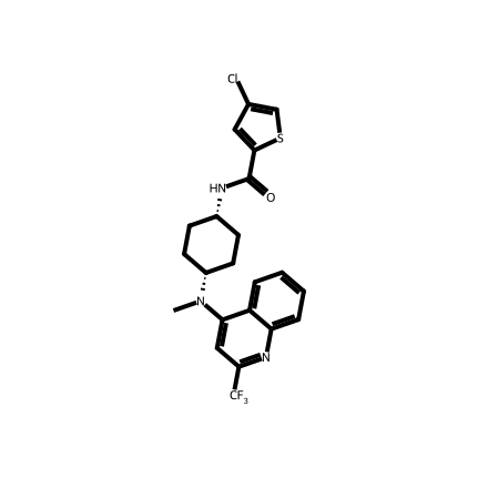 CN(c1cc(C(F)(F)F)nc2ccccc12)[C@H]1CC[C@@H](NC(=O)c2cc(Cl)cs2)CC1